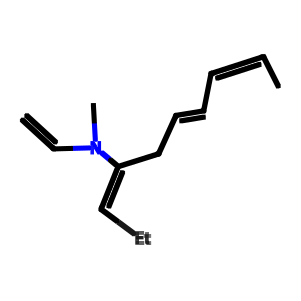 C=CN(C)/C(=C/CC)CC=C/C=C\C